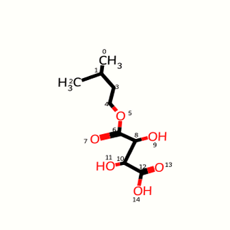 CC(C)CCOC(=O)C(O)C(O)C(=O)O